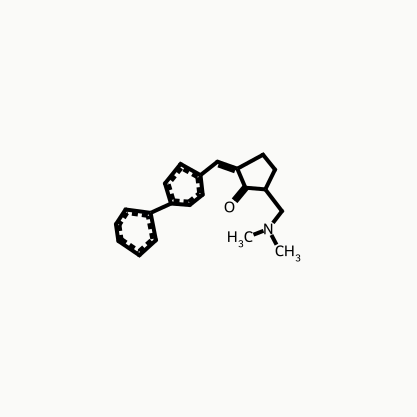 CN(C)CC1CCC(=Cc2ccc(-c3ccccc3)cc2)C1=O